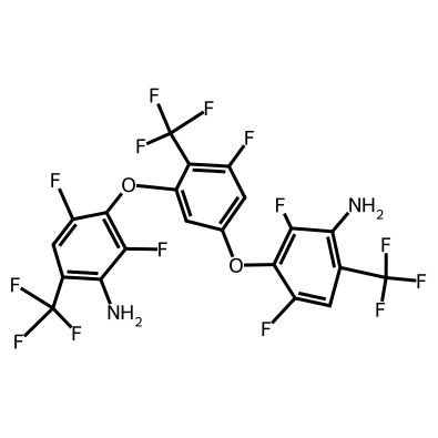 Nc1c(C(F)(F)F)cc(F)c(Oc2cc(F)c(C(F)(F)F)c(Oc3c(F)cc(C(F)(F)F)c(N)c3F)c2)c1F